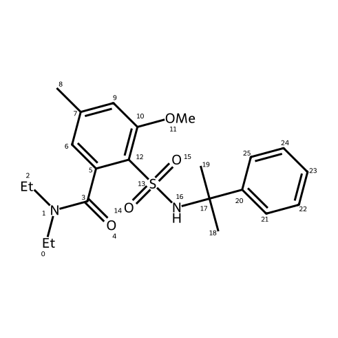 CCN(CC)C(=O)c1cc(C)cc(OC)c1S(=O)(=O)NC(C)(C)c1ccccc1